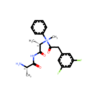 C[C@H](N)C(=O)NC(=O)[C@H](C)[N+](C)(C(=O)Cc1cc(F)cc(F)c1)c1ccccc1